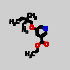 C=C[Si](C)(C)COc1cncc(C(=O)OCC)c1